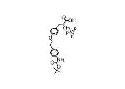 CC(C)(C)OC(=O)Nc1ccc(CCOc2ccc(CC(OCC(F)(F)F)C(=O)O)cc2)cc1